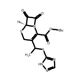 CC(Sc1ncn[nH]1)C1=C(C(=O)OC(C)(C)C)N2C(=O)C(=O)[C@@H]2SC1